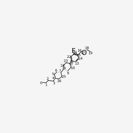 CCCC[C@H]1CC[C@H]([C@H]2CC[C@H](c3ccc(COCC)c(F)c3)CC2)CC1